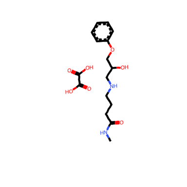 CNC(=O)CCCNCC(O)COc1ccccc1.O=C(O)C(=O)O